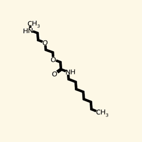 CCCCCCCCNC(=O)COCCOCCNC